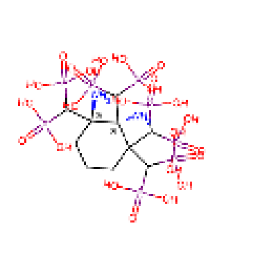 N[C@]1(C(P(=O)(O)O)P(=O)(O)O)C(C(P(=O)(O)O)P(=O)(O)O)(C(P(=O)(O)O)P(=O)(O)O)CCC[C@]1(N)C(P(=O)(O)O)P(=O)(O)O